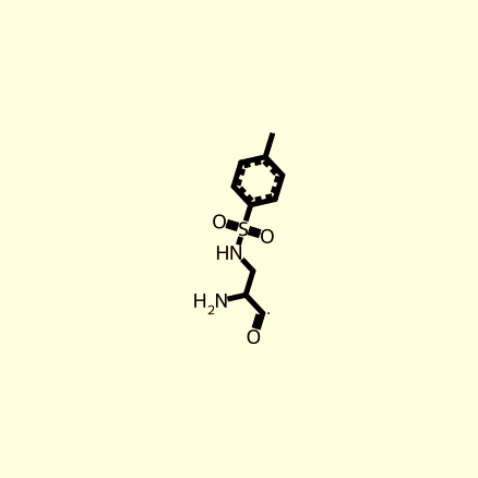 Cc1ccc(S(=O)(=O)NCC(N)[C]=O)cc1